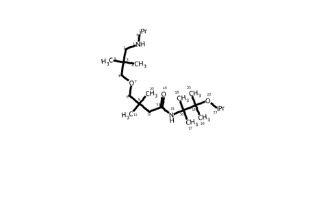 CC(C)NCC(C)(C)COCC(C)(C)CC(=O)NC(C)(C)C(C)(C)OC(C)C